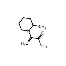 C=C(C(N)=O)N1CCCCC1C